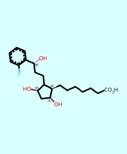 O=C(O)CCCCCC[C@@H]1C(CC[C@@H](O)c2ccccc2F)[C@H](O)C[C@@H]1O